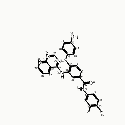 Cc1cc(NC(=O)c2ccc(Sc3ccc(O)cc3)c(Nc3ncnc4ncccc34)c2)ccc1F